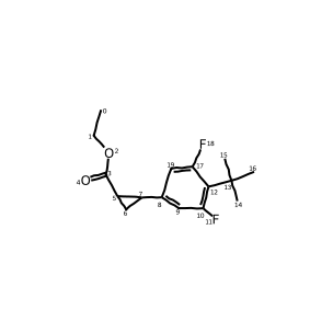 CCOC(=O)C1CC1c1cc(F)c(C(C)(C)C)c(F)c1